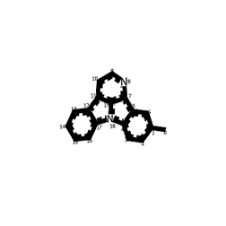 Cc1ccc2c(c1)c1nccc3c4ccccc4n2c31